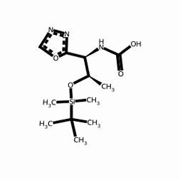 C[C@@H](O[Si](C)(C)C(C)(C)C)[C@H](NC(=O)O)c1nnco1